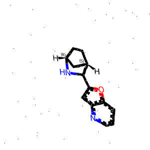 c1cnc2cc(C3N[C@@H]4CC[C@H]3C4)oc2c1